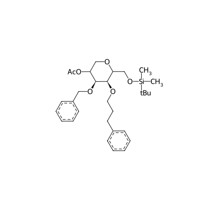 CC(=O)OC1COC(CO[Si](C)(C)C(C)(C)C)[C@@H](OCCCc2ccccc2)[C@H]1OCc1ccccc1